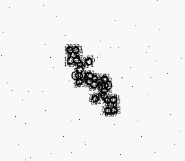 c1ccc(-n2c3cc4c(cc3c3c5cccc6c7cccc8cccc(c(cc32)c65)c87)oc2ccccc2n4-c2ccc3ccc4c(-n5c6ccccc6oc6cc7c8c9cccc%10c%11cccc%12cccc(c(cc8n(-c8ccccc8)c7cc65)c%109)c%12%11)ccc5ccc2c3c54)cc1